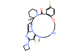 CN1CCNCCOc2ccc(F)cc2C(=O)N2CCCC[C@H]2c2cc3nc(N4CCC4)c(F)c1n3n2